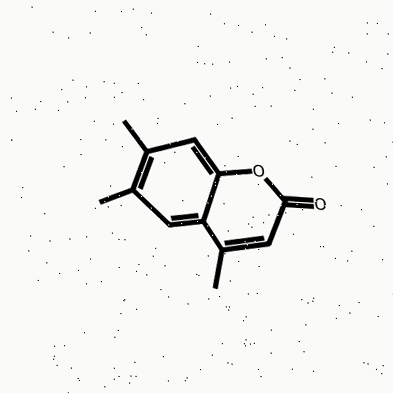 Cc1cc2oc(=O)cc(C)c2cc1C